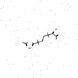 CC(C)(C)c1nnc(C(C)(C)CCC(C)(C)c2nonc2C(C)(C)C)o1